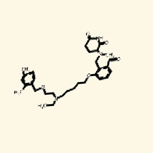 CCN(CCCCCOc1cccc(C=O)c1CN(C)C1CCC(=O)NC1=O)CCOCc1ccc(C)cc1C